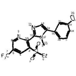 CCS(=O)(=O)c1cc(C(F)(F)F)cnc1-c1ncc(-c2cccc(Cl)c2)n1C